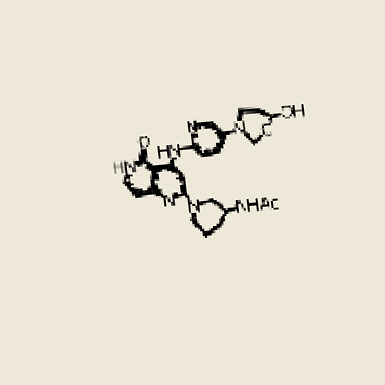 CC(=O)NC1CCCN(c2cc(Nc3ccc(N4CCC(O)CC4)cn3)c3c(=O)[nH]ccc3n2)C1